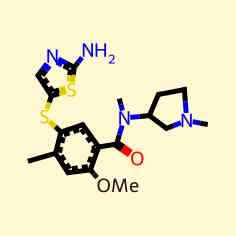 COc1cc(C)c(Sc2cnc(N)s2)cc1C(=O)N(C)C1CCN(C)C1